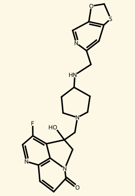 O=c1ccc2ncc(F)c3c2n1CC3(O)CN1CCC(NCc2cc3c(cn2)OCS3)CC1